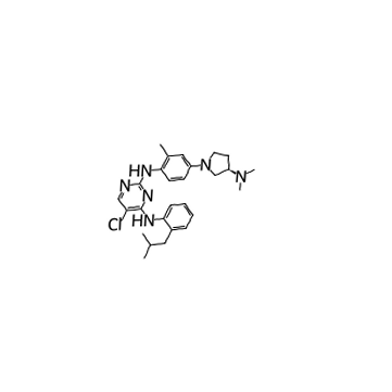 Cc1cc(N2CC[C@@H](N(C)C)C2)ccc1Nc1ncc(Cl)c(Nc2ccccc2CC(C)C)n1